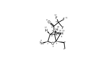 [3H][C@@H]1O[C@@]2(CC)CN(C(=O)C(F)(F)F)[C@@H]1[C@@H]2O